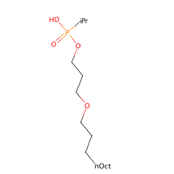 CCCCCCCCCCCOCCCOP(=O)(O)C(C)C